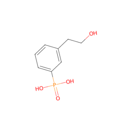 O=P(O)(O)c1cccc(CCO)c1